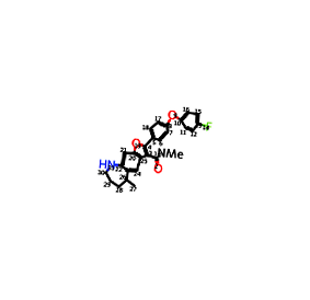 CNC(=O)c1c(-c2ccc(Oc3ccc(F)cc3)cc2)oc2cc3c(cc12)C(C)CCCN3